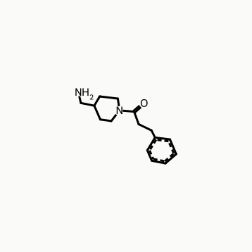 NCC1CCN(C(=O)CCc2ccccc2)CC1